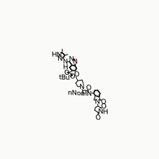 CCCCCCCCCC(C(=O)Nc1cccc2c1CN(C1CCC(=O)NC1=O)C2=O)N1CCC(COc2cc3ncnc(Nc4n[nH]c(C)c4C)c3cc2S(=O)(=O)C(C)(C)C)CC1